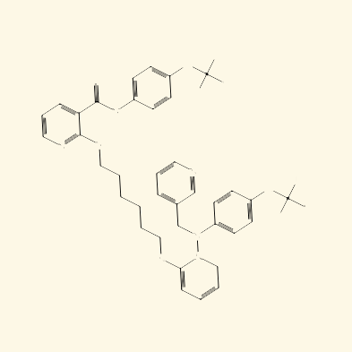 O=C(Nc1ccc(OC(F)(F)F)cc1)c1cccnc1NCCCCCCNC1=CC=CCN1N(Cc1cccnc1)c1ccc(OC(F)(F)F)cc1